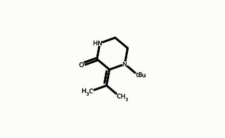 CC(C)=C1C(=O)NCCN1C(C)(C)C